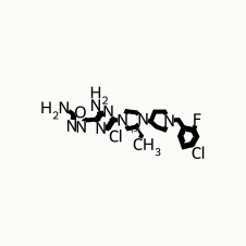 CC[C@H]1CN(c2nc(N)c(-c3nnc(N)o3)nc2Cl)CCN1C1CCN(Cc2ccc(Cl)cc2F)CC1